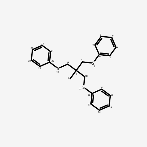 CC(CSc1ccccc1)(CSc1ccccc1)CSc1ccccc1